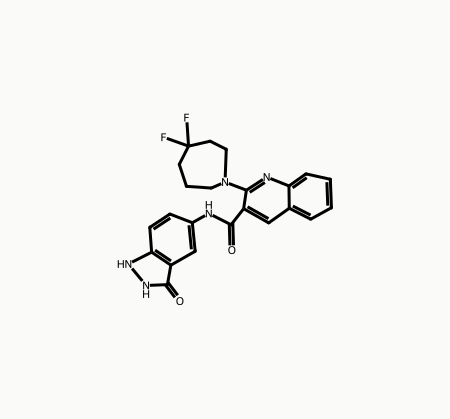 O=C(Nc1ccc2[nH][nH]c(=O)c2c1)c1cc2ccccc2nc1N1CCCC(F)(F)CC1